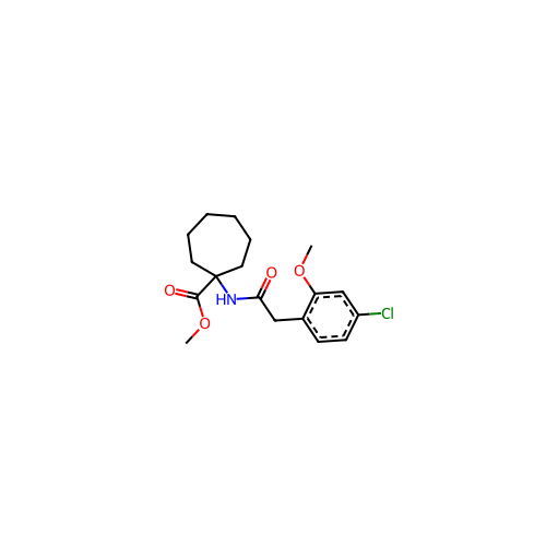 COC(=O)C1(NC(=O)Cc2ccc(Cl)cc2OC)CCCCCC1